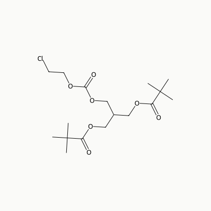 CC(C)(C)C(=O)OCC(COC(=O)OCCCl)COC(=O)C(C)(C)C